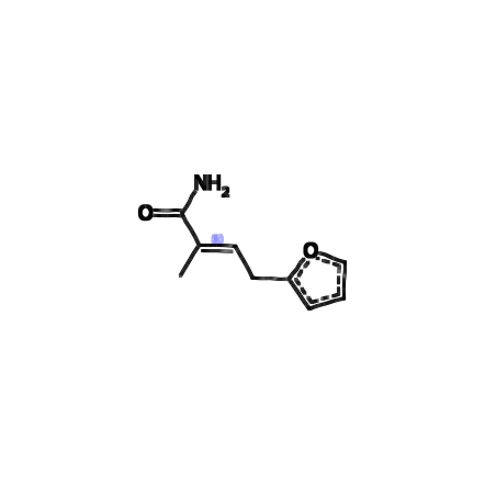 C/C(=C\Cc1ccco1)C(N)=O